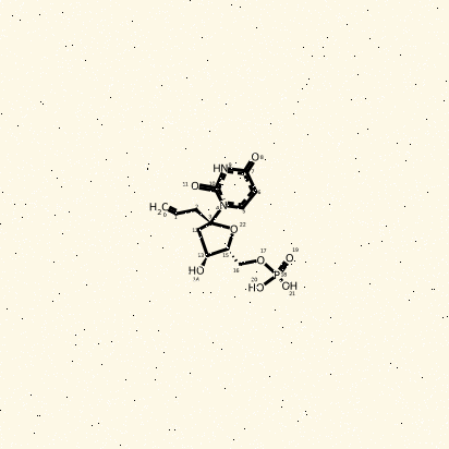 C=CC[C@]1(n2ccc(=O)[nH]c2=O)C[C@H](O)[C@@H](COP(=O)(O)O)O1